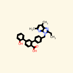 CCc1nc2c(C)cc(C)nc2n1Cc1ccc(-c2cc(-c3ccccc3O)ccc2C(=O)O)cc1